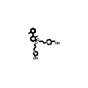 Cc1ccccc1C1=CC=CC(OCCCN2CCC(CO)CC2)(OCCCN2CC[C@@H](O)C2)C1C